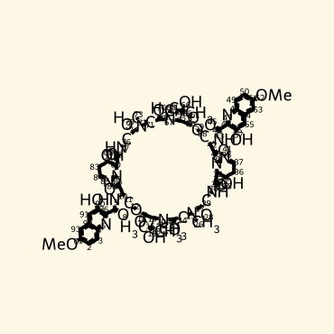 COc1ccc2nc(C(=O)N[C@@H]3COC(=O)[C@H](C(C)(C)O)N(C)C(=O)CN(C)C(=O)CNC(=O)C4[C@@H](O)CC=NN4C(=O)[C@H](NC(=O)c4nc5ccc(OC)cc5cc4O)COC(=O)[C@H](C(C)(C)O)N(C)C(=O)CN(C)C(=O)CNC(=O)C4[C@@H](O)CC=NN4C3=O)c(O)cc2c1